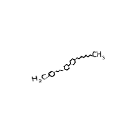 C=C[C@H]1CC[C@H](C=CCC[C@H]2CC[C@H]([C@H]3CC[C@H](CCCCCCCCC)CC3)CC2)CC1